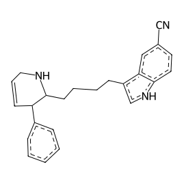 N#Cc1ccc2[nH]cc(CCCCC3NCC=CC3c3ccccc3)c2c1